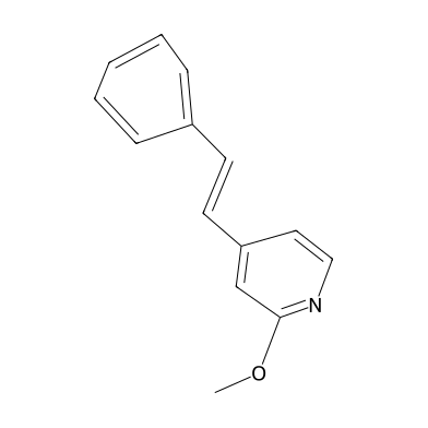 COc1cc(C=Cc2ccccc2)ccn1